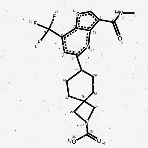 CNC(=O)c1csc2c(C(F)(F)F)cc(C3CCC4(CC3)CN(C(=O)O)C4)nc12